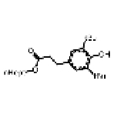 CCCCCCCOC(=O)CCc1cc(C(C)(C)C)c(O)c(C(C)(C)C)c1